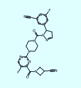 N#Cc1cc(F)cc(C2CC=NN2C(=O)N2CCN(c3ncc(F)c(C(=O)N4CC(C#N)C4)n3)CC2)c1